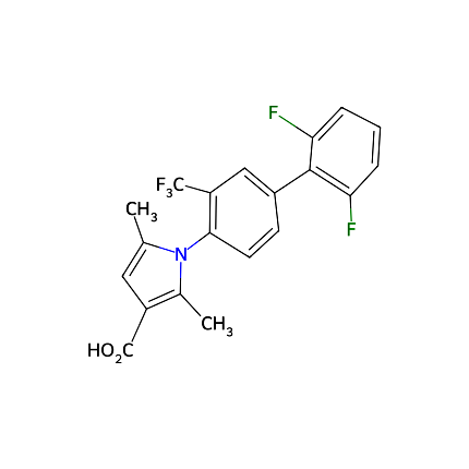 Cc1cc(C(=O)O)c(C)n1-c1ccc(-c2c(F)cccc2F)cc1C(F)(F)F